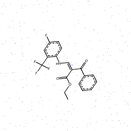 CCOC(=O)/C(=C\Nc1ccc(F)cc1C(F)(F)F)C(=O)c1ccccc1